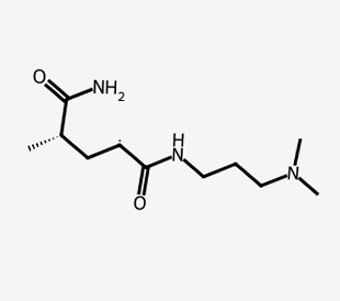 C[C@@H](C[CH]C(=O)NCCCN(C)C)C(N)=O